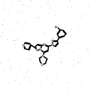 Brc1cccc(-c2ccn(-c3cc(N4CCOCC4)n4nc(-c5ccncc5)cc4n3)n2)c1